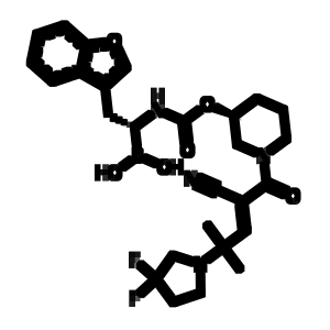 CC(C)(/C=C(\C#N)C(=O)N1CCC[C@H](OC(=O)N[C@@H](Cc2coc3ccccc23)B(O)O)C1)N1CCC(F)(F)C1